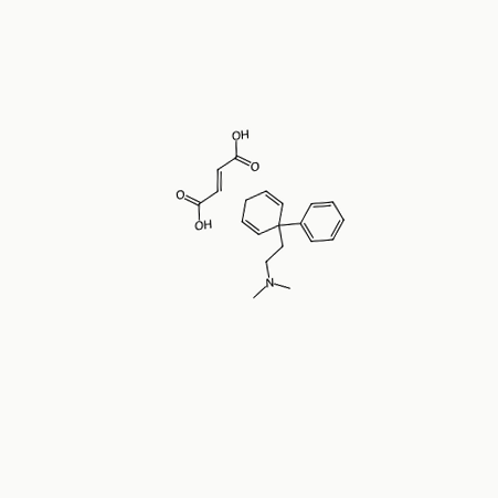 CN(C)CCC1(c2ccccc2)C=CCC=C1.O=C(O)C=CC(=O)O